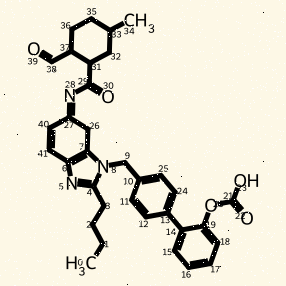 CCCCc1nc2c(n1Cc1ccc(-c3ccccc3OC(=O)O)cc1)CC(=NC(=O)C1CC(C)CCC1C=O)C=C2